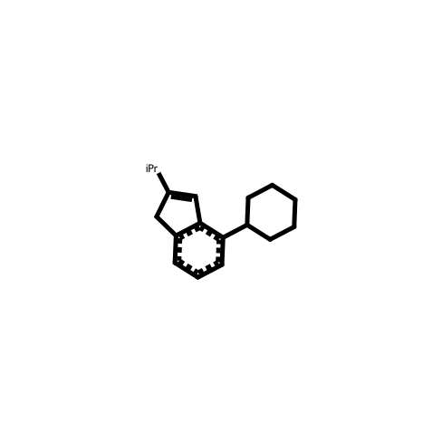 CC(C)C1=Cc2c(cccc2C2CCCCC2)C1